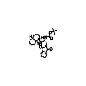 CC(C)(C)OC(=O)N[C@H](CN1C(=O)c2ccccc2C1=O)C(=O)N1CCC[C@H]2CCCC[C@@H]21